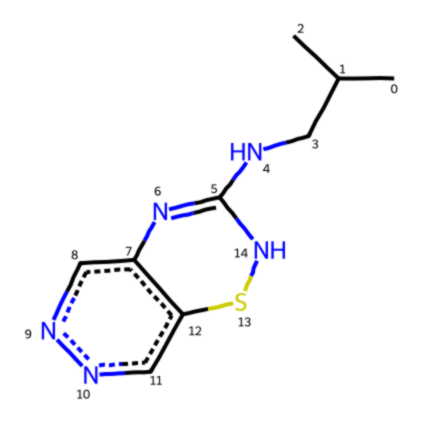 CC(C)CNC1=Nc2cnncc2SN1